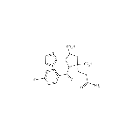 NC(=O)CCC1(C(=O)O)CC(C(=O)O)C(c2nccs2)N1C(=O)c1ccc(Cl)cc1